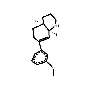 COc1cncc(C2=C[C@@H]3NCCC[C@@H]3CC2)c1